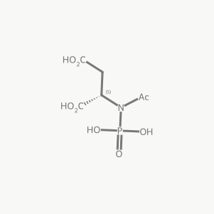 CC(=O)N([C@@H](CC(=O)O)C(=O)O)P(=O)(O)O